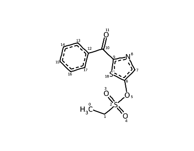 CCS(=O)(=O)Oc1cnc(C(=O)c2ccccc2)s1